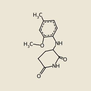 COc1cc(C)ccc1NC1CCC(=O)NC1=O